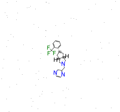 FC(F)(F)c1ccccc1[C@@H]1C[C@@H]2CN(Cc3cnccn3)C[C@@H]2C1